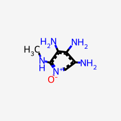 CNc1c(N)c(N)c(N)c[n+]1[O-]